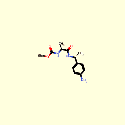 C[C@H](NC(=O)OC(C)(C)C)C(=O)N[C@H](C)c1ccc(N)cc1